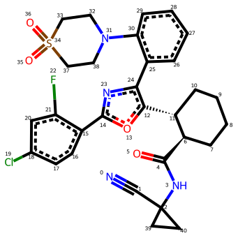 N#CC1(NC(=O)[C@@H]2CCCC[C@H]2c2oc(-c3ccc(Cl)cc3F)nc2-c2ccccc2N2CCS(=O)(=O)CC2)CC1